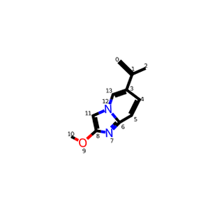 C=C(C)c1ccc2nc(OC)cn2c1